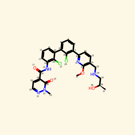 COc1nc(-c2cccc(-c3cccc(NC(=O)c4ccnn(C)c4=O)c3Cl)c2Cl)ccc1CNC[C@@H](C)O